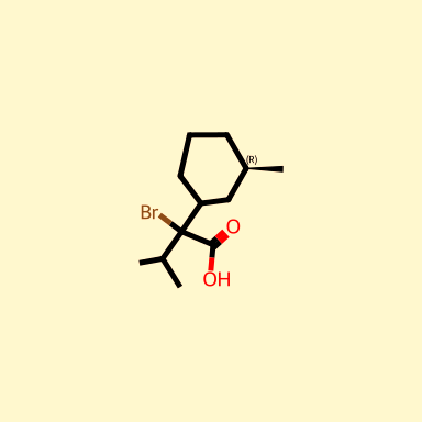 CC(C)C(Br)(C(=O)O)C1CCC[C@@H](C)C1